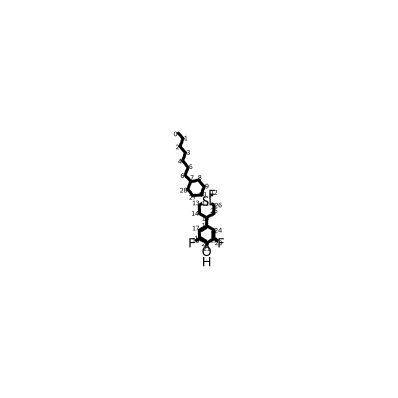 CCCCCCCC1CCC([Si]2(F)CCC(c3cc(F)c(O)c(F)c3)CC2)CC1